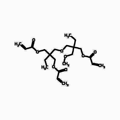 C=CC(=O)OCC(CC)(COC)COCC(CC)(COC(=O)C=C)COC(=O)C=C